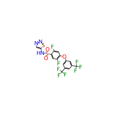 O=S(=O)(Nc1cnns1)c1cc(F)c(Oc2cc(C(F)(F)F)cc(C(F)(F)F)c2)cc1F